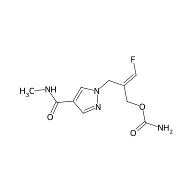 CNC(=O)c1cnn(C/C(=C\F)COC(N)=O)c1